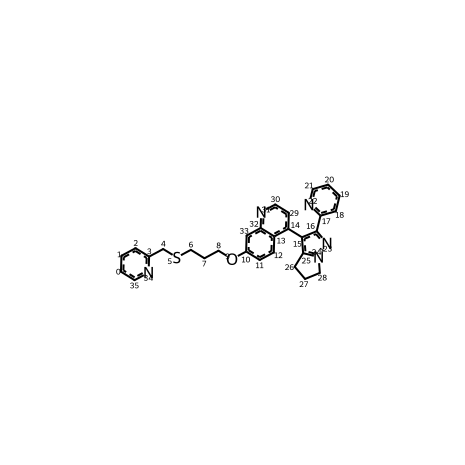 c1ccc(CSCCCOc2ccc3c(-c4c(-c5ccccn5)nn5c4CCC5)ccnc3c2)nc1